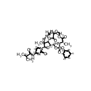 CCOC(=O)[C@H](C)NP(=O)(OC[C@H]1O[C@@H](n2ccc(NC(=O)C(C)C)nc2=O)[C@](C)(N=[N+]=[N-])[C@@H]1OC(=O)C(C)C)Oc1ccccc1